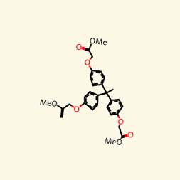 C=C(COc1ccc(C(C)(c2ccc(OCC(=O)OC)cc2)c2ccc(OCC(=O)OC)cc2)cc1)OC